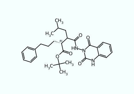 CC(C)CC(C(=O)Nn1c(=O)[nH]c2ccccc2c1=O)[C@@H](CCCc1ccccc1)C(=O)OC(C)(C)C